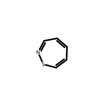 C1=CC=[N+]SC=C1